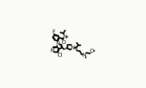 COCCN(C)CCC[C@H](C(C)C)N1CC[C@H](Cc2cn(-c3ccc(F)cc3C(=O)N(C)C(C)C)c3cncc(Cl)c23)C1